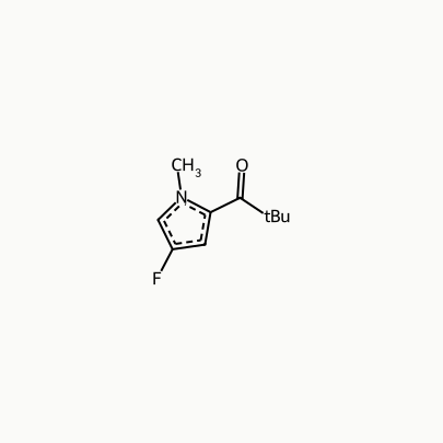 Cn1cc(F)cc1C(=O)C(C)(C)C